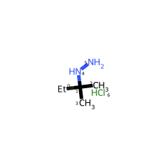 CCC(C)(C)NN.Cl